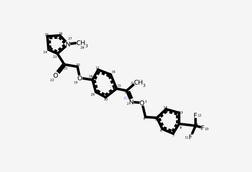 C/C(=N\OCc1ccc(C(F)(F)F)cc1)c1ccc(OCC(=O)c2cccn2C)cc1